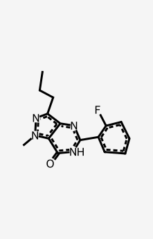 CCCc1nn(C)c2c(=O)[nH]c(-c3ccccc3F)nc12